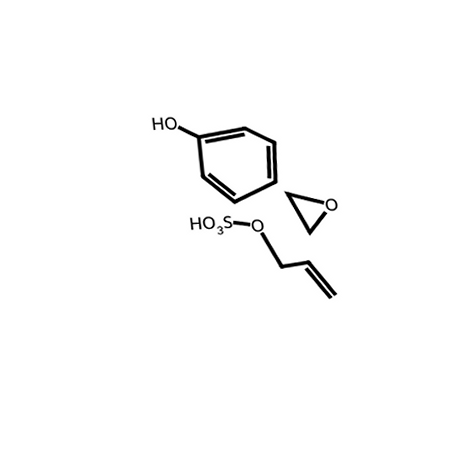 C1CO1.C=CCOS(=O)(=O)O.Oc1ccccc1